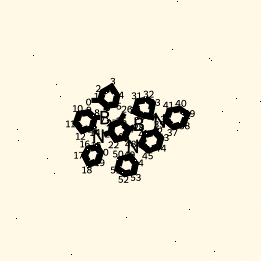 Cc1ccccc1B1c2ccccc2N(c2ccccc2)c2cc3c(c(C)c21)B1c2ccccc2N(c2ccccc2)c2cccc(c21)N3c1ccccc1